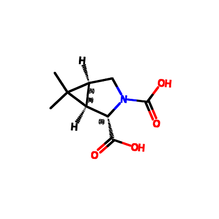 CC1(C)[C@@H]2[C@@H](C(=O)O)N(C(=O)O)C[C@@H]21